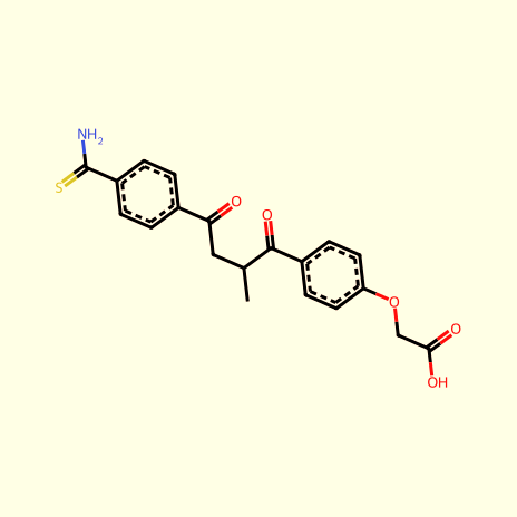 CC(CC(=O)c1ccc(C(N)=S)cc1)C(=O)c1ccc(OCC(=O)O)cc1